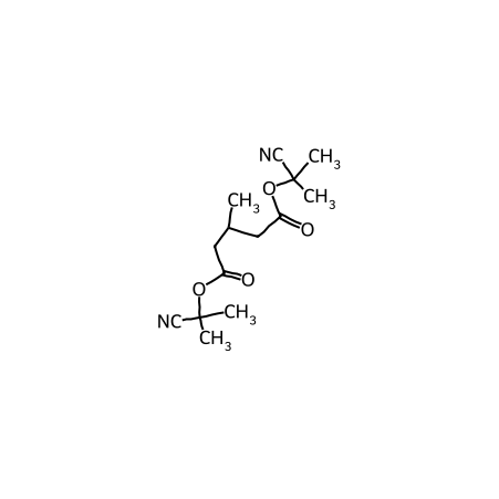 CC(CC(=O)OC(C)(C)C#N)CC(=O)OC(C)(C)C#N